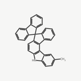 Cc1ccc2[nH]c3ccc4c(c3c2c1)-c1ccccc1C41c2ccccc2-c2ccccc21